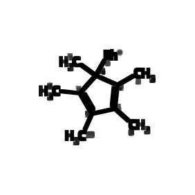 CC1=C(C)[C](C)([Rh+])C(C)=C1C